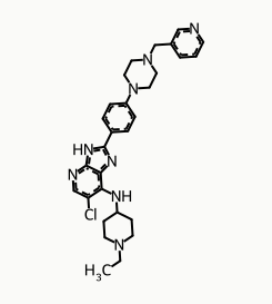 CCN1CCC(Nc2c(Cl)cnc3[nH]c(-c4ccc(N5CCN(Cc6cccnc6)CC5)cc4)nc23)CC1